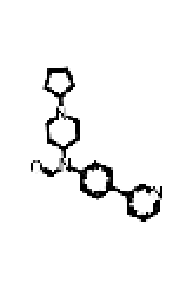 O=CN(c1ccc(-c2cccnc2)cc1)C1CCN(C2CCCC2)CC1